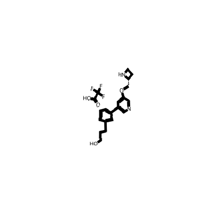 O=C(O)C(F)(F)F.OCCCc1cccc(-c2cncc(OC[C@H]3CCN3)c2)c1